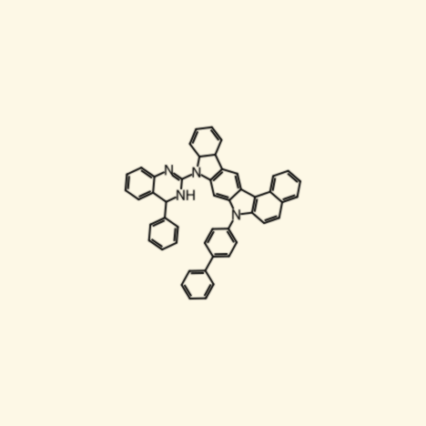 C1=CC2c3cc4c5c6ccccc6ccc5n(-c5ccc(-c6ccccc6)cc5)c4cc3N(C3=Nc4ccccc4C(c4ccccc4)N3)C2C=C1